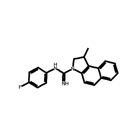 CC1CN(C(=N)Nc2ccc(F)cc2)c2ccc3ccccc3c21